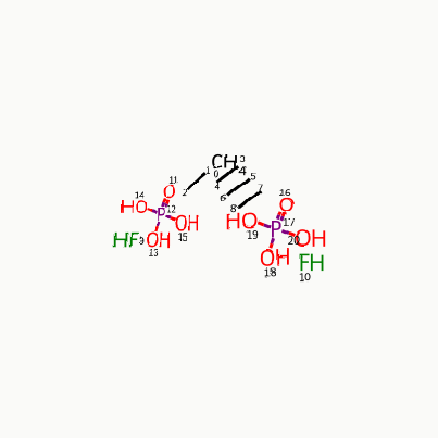 C.CC.CC.CC.CC.F.F.O=P(O)(O)O.O=P(O)(O)O